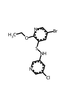 CCOc1ncc(Br)cc1SNc1cncc(Cl)c1